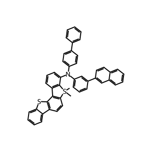 CS1(C)c2ccc3c(sc4ccccc43)c2-c2cccc(N(c3ccc(-c4ccccc4)cc3)c3cccc(-c4ccc5ccccc5c4)c3)c21